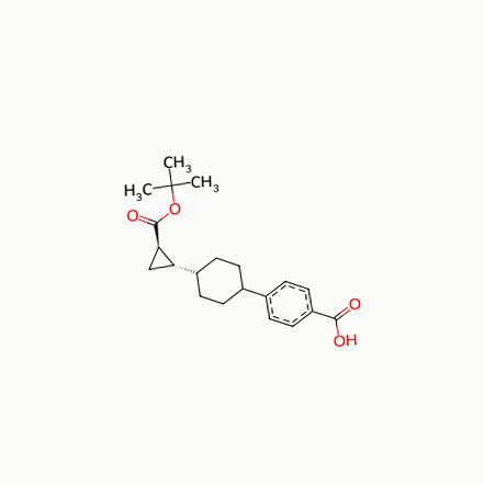 CC(C)(C)OC(=O)[C@@H]1C[C@H]1C1CCC(c2ccc(C(=O)O)cc2)CC1